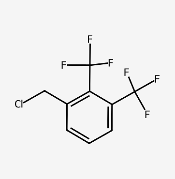 FC(F)(F)c1cccc(CCl)c1C(F)(F)F